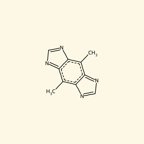 Cc1c2c(c(C)c3c1=NC=N3)=NC=N2